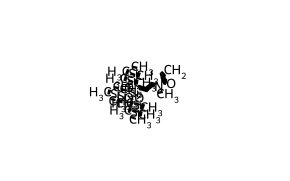 C=CC(=O)N(C)CCC[Si](O[Si](C)(C)[Si](C)(C)C)(O[Si](C)(C)[Si](C)(C)C)O[Si](C)(C)[Si](C)(C)C